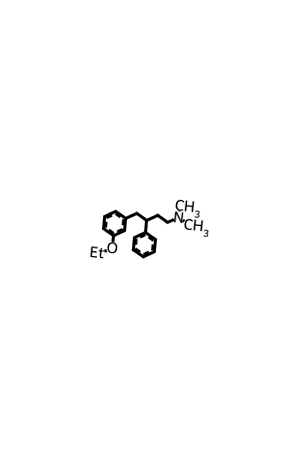 CCOc1cccc(CC(CCN(C)C)c2ccccc2)c1